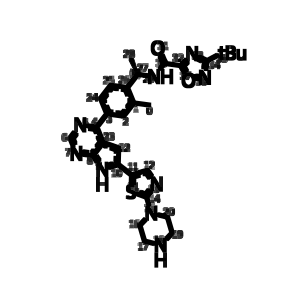 Cc1cc(-c2ncnc3[nH]c(-c4cnc(N5CCNCC5)s4)cc23)ccc1[C@@H](C)NC(=O)c1nc(C(C)(C)C)no1